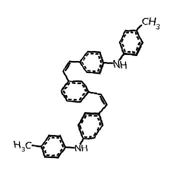 Cc1ccc(Nc2ccc(/C=C\c3cccc(/C=C\c4ccc(Nc5ccc(C)cc5)cc4)c3)cc2)cc1